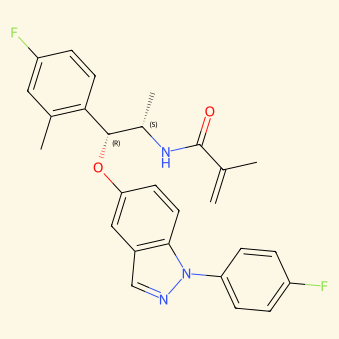 C=C(C)C(=O)N[C@@H](C)[C@H](Oc1ccc2c(cnn2-c2ccc(F)cc2)c1)c1ccc(F)cc1C